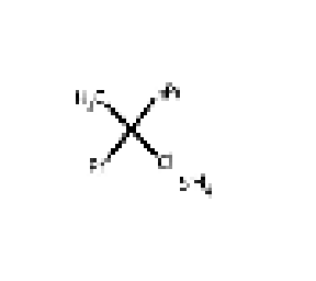 CCCC(C)(Cl)CC.[SiH4]